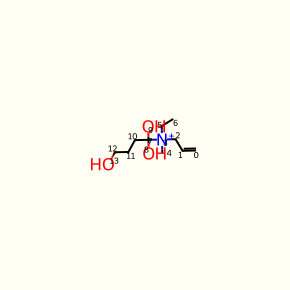 C=CC[N+](C)(CC)C(O)(O)CCCO